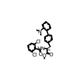 COC(=O)[C@H](Cc1ccc(-c2ccccc2N(C)C)cc1)NC(=O)c1c(Cl)cccc1Cl